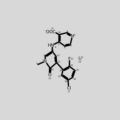 Cn1cc(Nc2ccncc2C(=O)[O-])cc(-c2cc(Cl)ccc2F)c1=O.[Li+]